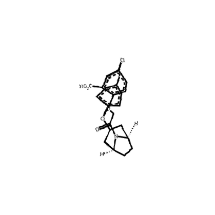 O=C(O)c1cc(Cl)ccc1OCC(=O)N1[C@@H]2CC[C@H]1CC(Oc1ccc(F)cc1)C2